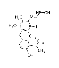 Cc1c(C)c(OCPO)c(I)c(C)c1CC1C=CC(O)=C(C(C)C)C1